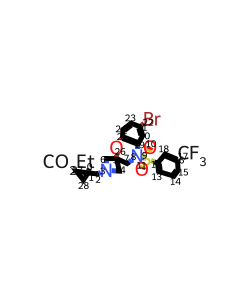 CCOC(=O)C1(CN2CC3(C2)CN(S(=O)(=O)c2cccc(C(F)(F)F)c2)c2cc(Br)ccc2O3)CC1